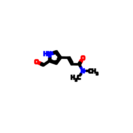 CN(C)C(=O)/C=C/c1c[nH]c(C=O)c1